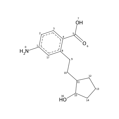 Nc1ccc(C(=O)O)c(CCC2CCCC2O)c1